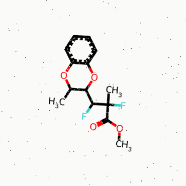 COC(=O)C(C)(F)C(F)C1Oc2ccccc2OC1C